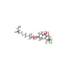 C=CCN(C)CCCCCCCCOc1ccc(C(O)c2ccc(Cl)cc2)cc1